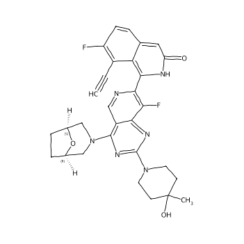 C#Cc1c(F)ccc2cc(=O)[nH]c(-c3ncc4c(N5C[C@H]6CC[C@@H](C5)O6)nc(N5CCC(C)(O)CC5)nc4c3F)c12